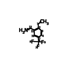 CCc1ccc(C(F)(F)F)cc1CN